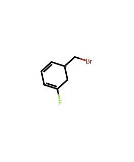 FC1=CC=C[C](CBr)C1